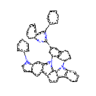 c1ccc(-c2nc(-c3cccc(-n4c5cc6c(ccn6-c6ccccc6)cc5c5ccc6c7ccccc7n(-c7ccccc7)c6c54)c3)nc3ccccc23)cc1